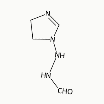 O=CNNN1C=NCC1